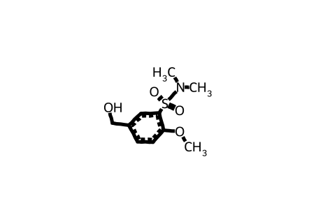 COc1ccc(CO)cc1S(=O)(=O)N(C)C